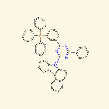 c1ccc(-c2nc(-c3cccc(S(c4ccccc4)(c4ccccc4)c4ccccc4)c3)nc(-n3c4ccccc4c4c5ccccc5ccc43)n2)cc1